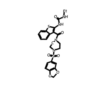 CCNC(=O)Nc1sc2ccccc2c1C(=O)N1CCN(S(=O)(=O)c2ccc3c(c2)OCO3)CC1